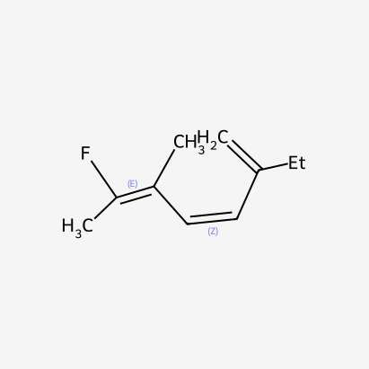 C=C(/C=C\C(C)=C(/C)F)CC